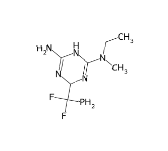 CCN(C)C1=NC(C(F)(F)P)N=C(N)N1